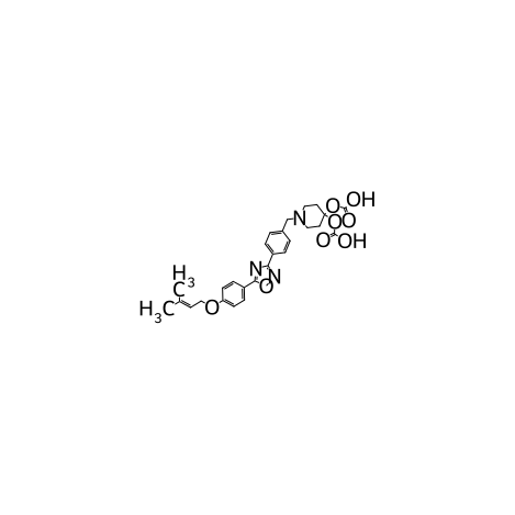 CC(C)=CCOc1ccc(-c2nc(-c3ccc(CN4CCC(OC(=O)O)(OC(=O)O)CC4)cc3)no2)cc1